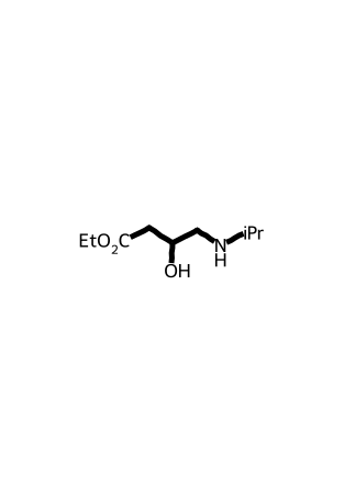 CCOC(=O)CC(O)CNC(C)C